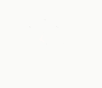 CC1C(C#N)C(=C(C#N)C#N)OC1(C)c1cc(Cl)cc(Cl)c1